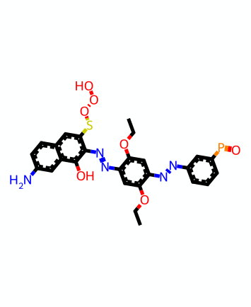 CCOc1cc(N=Nc2c(SOOO)cc3ccc(N)cc3c2O)c(OCC)cc1N=Nc1cccc(P=O)c1